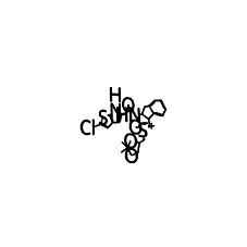 CC1(C)OCC(C[S+]([O-])CC2c3ccccc3CC2NC(=O)c2cc3cc(Cl)sc3[nH]2)O1